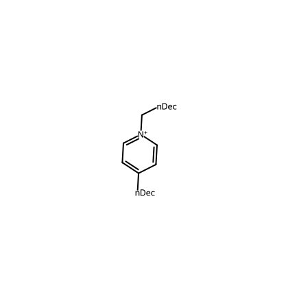 CCCCCCCCCCC[n+]1ccc(CCCCCCCCCC)cc1